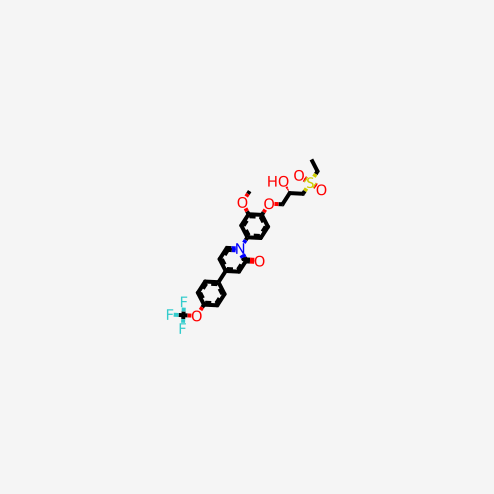 CCS(=O)(=O)C[C@@H](O)COc1ccc(-n2ccc(-c3ccc(OC(F)(F)F)cc3)cc2=O)cc1OC